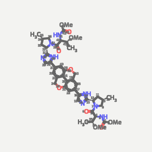 COC(=O)N[C@H](C(=O)N1C[C@@H](C)C[C@H]1c1ncc(-c2cc3c4c(c2)OCc2cc(-c5cnc([C@@H]6C[C@H](C)CN6C(=O)[C@@H](NC(=O)OC)[C@@H](C)OC)[nH]5)cc(c2-4)OC3)[nH]1)[C@@H](C)OC